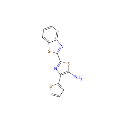 Nc1sc(-c2nc3ccccc3s2)nc1-c1cccs1